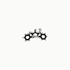 [CH2]C(c1nc2ccccc2[nH]1)c1nc2ccccc2[nH]1